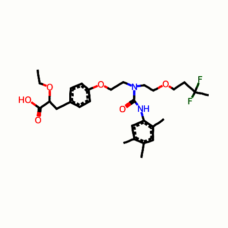 CCOC(Cc1ccc(OCCN(CCOCCC(C)(F)F)C(=O)Nc2cc(C)c(C)cc2C)cc1)C(=O)O